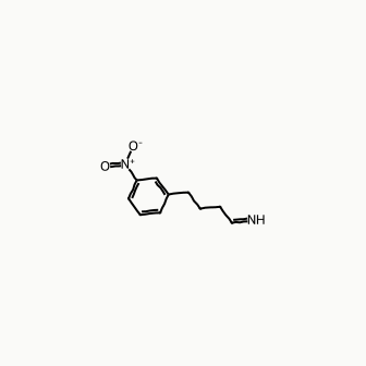 N=CCCCc1cccc([N+](=O)[O-])c1